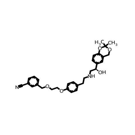 CC1(C)OCc2cc([C@@H](O)CNCCc3ccc(OCCOCc4cccc(C#N)c4)cc3)ccc2O1